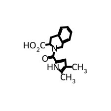 Cc1cc(C(=O)N2Cc3ccccc3CC2C(=O)O)[nH]c1C